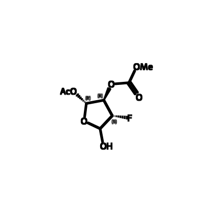 COC(=O)O[C@@H]1[C@@H](OC(C)=O)OC(O)[C@H]1F